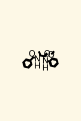 COc1ccccc1NC(=O)C(C)NC(=O)c1ccccc1